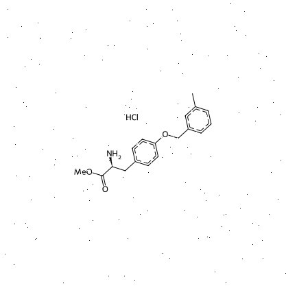 COC(=O)[C@@H](N)Cc1ccc(OCc2cccc(C)c2)cc1.Cl